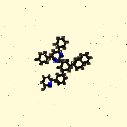 Cc1cccc(-c2cccc(-c3cc(-c4ccc5ccccc5c4)cc(-c4nc(-c5ccccc5)cc(-c5ccccc5)n4)c3)c2)n1